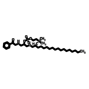 CCCCCCCCCCCCCCCCCCOCC(CNCC(=O)c1ccccc1)OP(=O)([O-])OCC[N+](C)(C)C